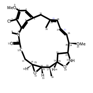 COc1cc2cc(c1Cl)N(C)C(=O)CC[C@@H]1O[C@H]1[C@H](C)[C@@H]1CC(NO1)[C@H](OC)/C=C/C=C(\C)C2